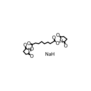 O=C(CCCCCCC(=O)ON1C(=O)CCC1=O)ON1C(=O)CCC1=O.[NaH]